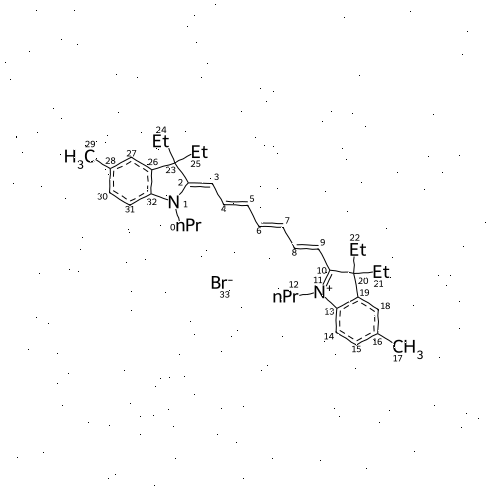 CCCN1\C(=C/C=C/C=C/C=C/C2=[N+](CCC)c3ccc(C)cc3C2(CC)CC)C(CC)(CC)c2cc(C)ccc21.[Br-]